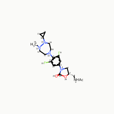 CC(=O)NC[C@H]1CN(c2cc(F)c(N3CCN(C)N(C4CC4)CC3)c(F)c2)C(=O)O1